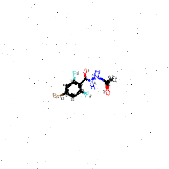 CCC(=O)NNC(=O)c1c(F)cc(Br)cc1F